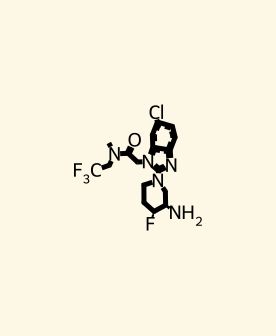 CN(CC(F)(F)F)C(=O)Cn1c(N2CC[C@@H](F)[C@H](N)C2)nc2ccc(Cl)cc21